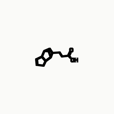 O=C(O)CCC1CC2CC1C1CC=CC21